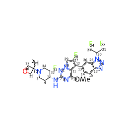 [2H]C1(N2CC[C@@H](Nc3nc(OC)c4c(-c5ccc6nnn(C(CF)CF)c6c5)c(F)cn4n3)[C@@H](F)C2)COC1